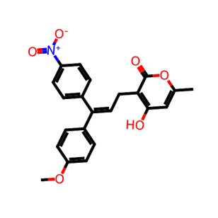 COc1ccc(C(=CCc2c(O)cc(C)oc2=O)c2ccc([N+](=O)[O-])cc2)cc1